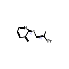 C=C1C=CC=N/C1=N/C=C(\C)C(C)C